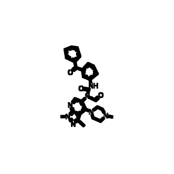 Cc1nn(C)c2ncc(N(C=O)C(=O)Nc3cccc(C(=O)c4ccccc4)c3)c(N3CCN(C)CC3)c12